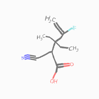 C=C(F)C(C)(C)C(C#N)C(=O)O